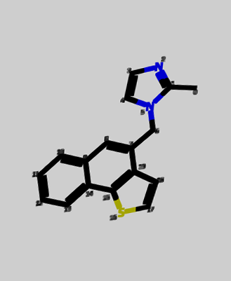 Cc1nccn1Cc1cc2ccccc2c2sccc12